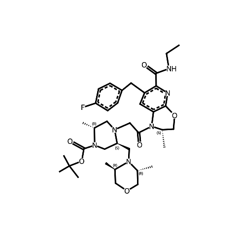 CCNC(=O)c1nc2c(cc1Cc1ccc(F)cc1)N(C(=O)CN1C[C@@H](C)N(C(=O)OC(C)(C)C)C[C@@H]1CN1[C@H](C)COC[C@H]1C)[C@@H](C)CO2